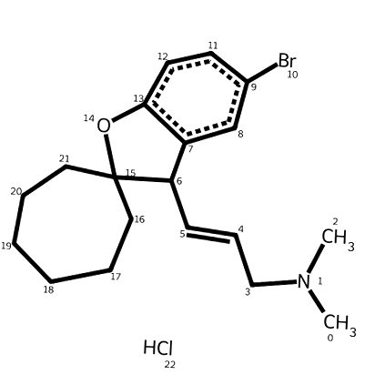 CN(C)CC=CC1c2cc(Br)ccc2OC12CCCCCC2.Cl